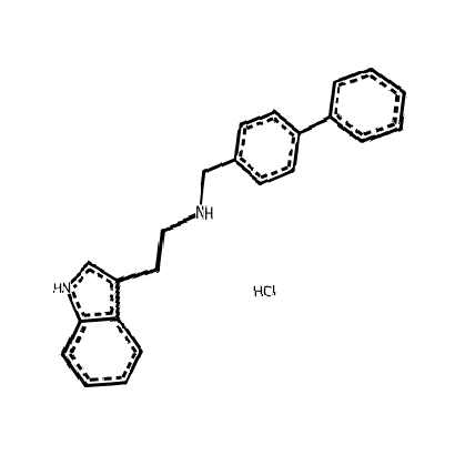 Cl.c1ccc(-c2ccc(CNCCc3c[nH]c4ccccc34)cc2)cc1